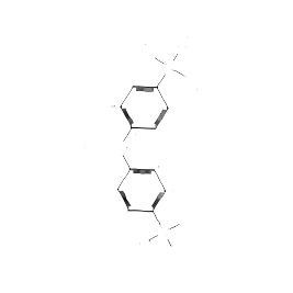 C[Si](C)([O-])c1ccc(Oc2ccc([Si](C)(C)[O-])cc2)cc1.[Li+].[Li+]